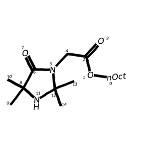 CCCCCCCCOC(=O)CN1C(=O)C(C)(C)NC1(C)C